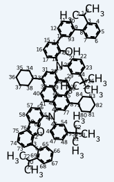 CC(C)c1ccccc1-c1cccc(-c2cccc(N(c3cccc(C(C)(C)C)c3)c3cc(C4CCCCC4)c4ccc5c(N(c6cccc(C(C)(C)C)c6)c6cccc7c6oc6c(-c8ccccc8C(C)C)cccc67)cc(C6CCCCC6)c6ccc3c4c65)c2O)c1